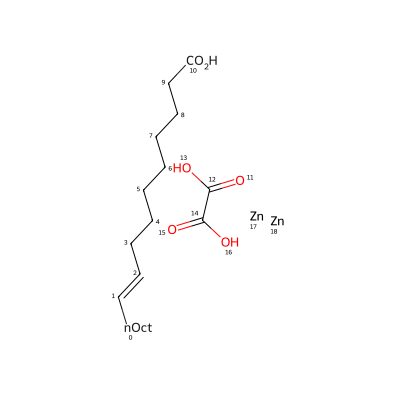 CCCCCCCCC=CCCCCCCCC(=O)O.O=C(O)C(=O)O.[Zn].[Zn]